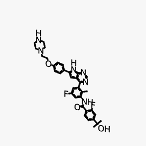 Cc1c(NC(=O)c2ccc(C(C)(C)O)cc2F)cc(F)cc1-c1ncnc2[nH]c(-c3ccc(OCCN4CCNCC4)cc3)cc12